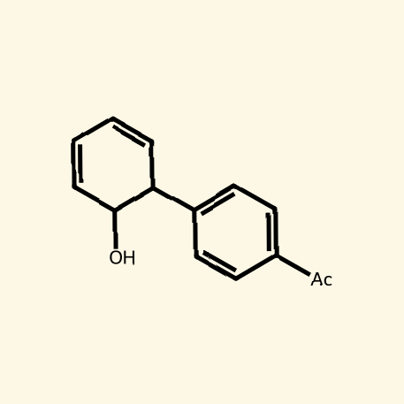 CC(=O)c1ccc(C2C=CC=CC2O)cc1